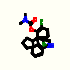 CN(C)C(=O)Oc1c(F)ccc(Br)c1C1CCCC12CC=CC1=C2CC=CN1